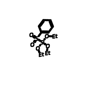 CCO[Si](OCC)(OCC)S(=O)(=O)c1ccccc1